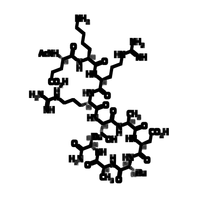 CC[C@H](C)[C@H](NC(=O)[C@H](C)NC(=O)[C@@H](NC(=O)[C@H](CC(=O)O)NC(=O)[C@H](C)NC(=O)[C@H](CO)NC(=O)[C@H](CCCNC(=N)N)NC(=O)[C@H](CCCNC(=N)N)NC(=O)[C@H](CCCCN)NC(=O)[C@H](CCC(=O)O)NC(C)=O)[C@@H](C)CC)C(N)=O